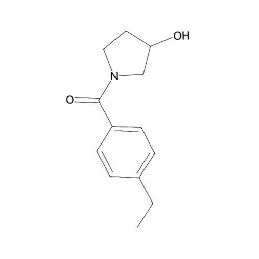 CCc1ccc(C(=O)N2CCC(O)C2)cc1